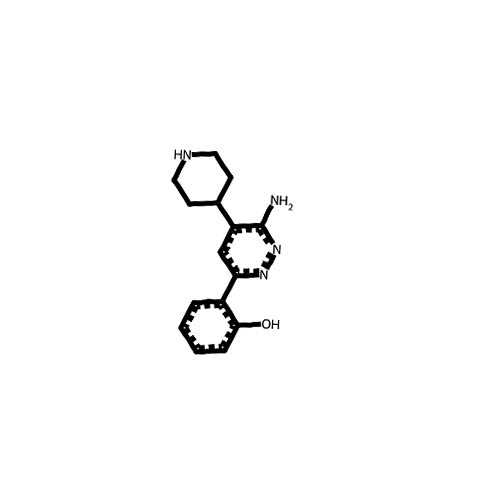 Nc1nnc(-c2ccccc2O)cc1C1CCNCC1